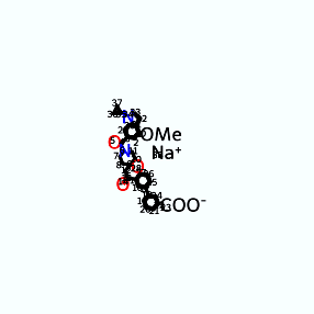 COc1cc(C(=O)N2CCC3(CC2)CC(=O)c2cc(-c4cccc(C(=O)[O-])c4)ccc2O3)cc2c1ccn2C1CC1.[Na+]